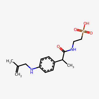 C=C(C)CNc1ccc(C(C)C(=O)NCCS(=O)(=O)O)cc1